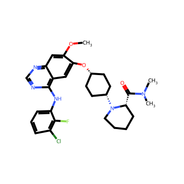 COc1cc2ncnc(Nc3cccc(Cl)c3F)c2cc1O[C@H]1CC[C@@H](N2CCCC[C@H]2C(=O)N(C)C)CC1